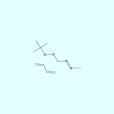 C=CC=C.[C]N=N[C]OOC(C)(C)C